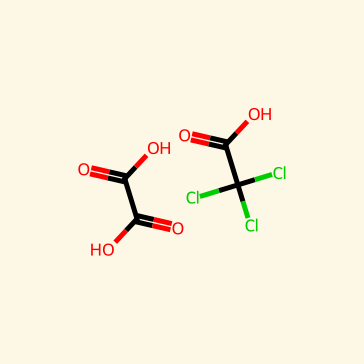 O=C(O)C(=O)O.O=C(O)C(Cl)(Cl)Cl